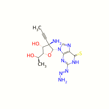 CC#C[C@@]1(N)[C@@H](O)[C@@H]([C@@H](C)O)O[C@H]1n1cnc2c(=S)[nH]c(N=NN)nc21